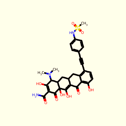 CN(C)C1C(O)=C(C(N)=O)C(=O)C2(O)C(O)=C3C(=O)c4c(O)ccc(C#Cc5ccc(NS(C)(=O)=O)cc5)c4CC3CC12